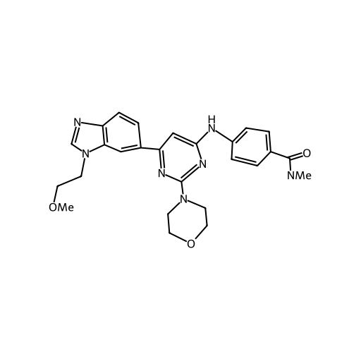 CNC(=O)c1ccc(Nc2cc(-c3ccc4ncn(CCOC)c4c3)nc(N3CCOCC3)n2)cc1